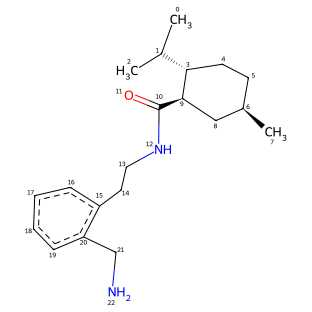 CC(C)[C@@H]1CC[C@@H](C)C[C@H]1C(=O)NCCc1ccccc1CN